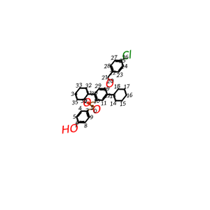 O=S(=O)(c1ccc(O)cc1)c1cc(C2CCCCC2)c(OCc2ccc(Cl)cc2)cc1C1CCCCC1